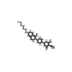 CCCCCCCc1ccc2c(F)c(-c3ccc(-c4cc(F)c(C#N)c(F)c4)cc3)ccc2c1